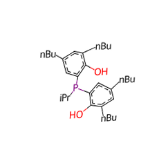 CCCCc1cc(CCCC)c(O)c(P(c2cc(CCCC)cc(CCCC)c2O)C(C)C)c1